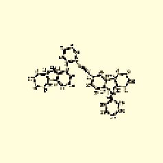 C(#Cc1ccccc1-c1cccc2c1sc1ccccc12)c1ccc2c(c1)c1ccccc1n2-c1ccccc1